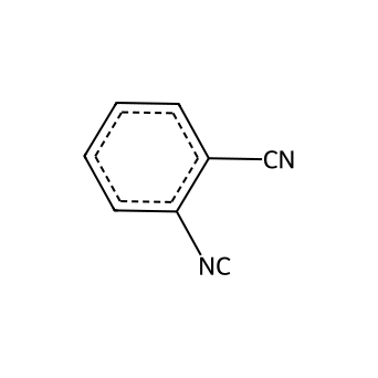 [C-]#[N+]c1ccccc1C#N